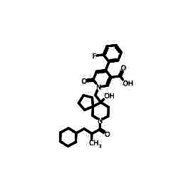 CC(CC1CCCCC1)C(=O)N1CCC(O)(Cn2cc(C(=O)O)c(-c3ccccc3F)cc2=O)C2(CCCC2)C1